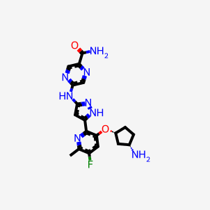 Cc1nc(-c2cc(Nc3cnc(C(N)=O)cn3)n[nH]2)c(O[C@@H]2CC[C@H](N)C2)cc1F